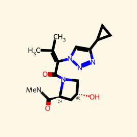 CNC(=O)[C@@H]1C[C@@H](O)CN1C(=O)C(=C(C)C)n1cc(C2CC2)nn1